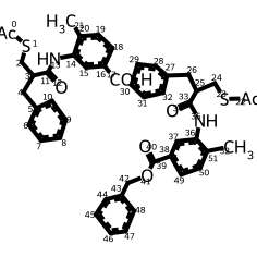 CC(=O)SCC(Cc1ccccc1)C(=O)Nc1cc(C(=O)O)ccc1C.CC(=O)SCC(Cc1ccccc1)C(=O)Nc1cc(C(=O)OCc2ccccc2)ccc1C